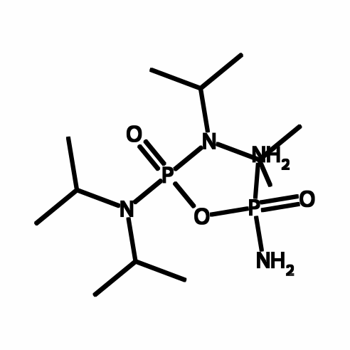 CC(C)N(C(C)C)P(=O)(OP(N)(N)=O)N(C(C)C)C(C)C